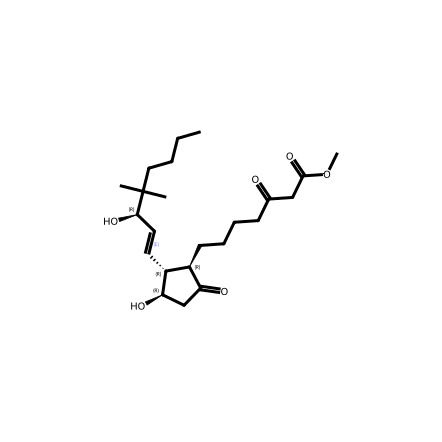 CCCCC(C)(C)[C@H](O)/C=C/[C@H]1[C@H](O)CC(=O)[C@@H]1CCCCC(=O)CC(=O)OC